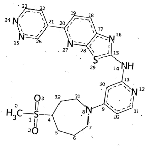 CS(=O)(=O)C1CCCN(c2ccnc(Nc3nc4ccc(-c5ccnnc5)nc4s3)c2)CC1